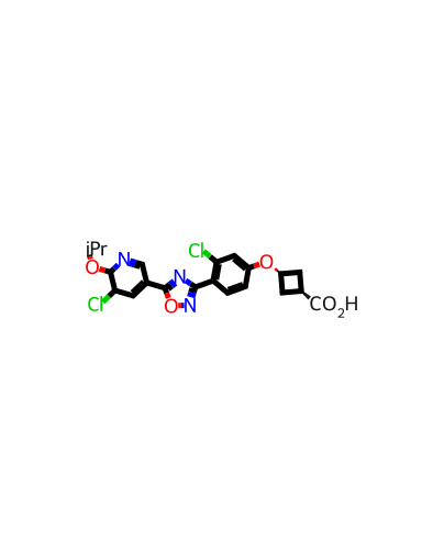 CC(C)OC1N=CC(c2nc(-c3ccc(O[C@H]4C[C@H](C(=O)O)C4)cc3Cl)no2)=CC1Cl